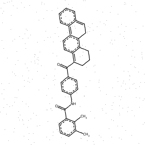 Cc1cccc(C(=O)Nc2ccc(C(=O)C3=c4ccc5c(c4CCC3)CC=c3ccccc3=5)cc2)c1C